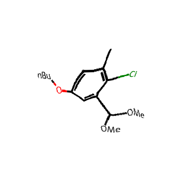 CCCCOc1cc(C)c(Cl)c(C(OC)OC)c1